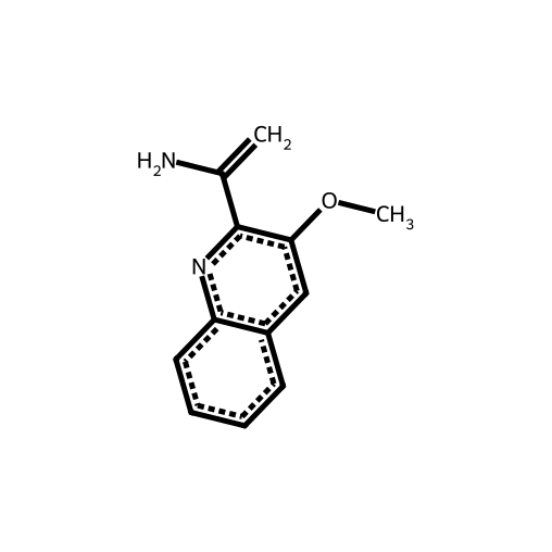 C=C(N)c1nc2ccccc2cc1OC